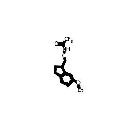 CCOc1ccc2c(c1)C(CCNC(=O)C(F)(F)F)CC2